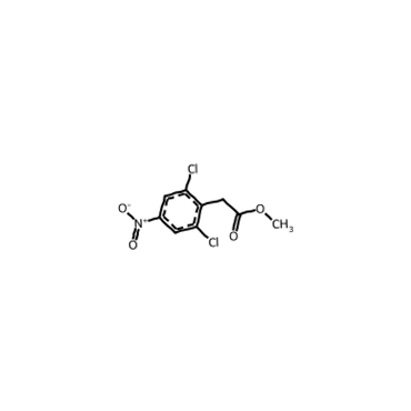 COC(=O)Cc1c(Cl)cc([N+](=O)[O-])cc1Cl